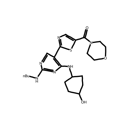 CCCCNc1ncc(-c2ncc(C(=O)N3CCOCC3)s2)c(NC2CCC(O)CC2)n1